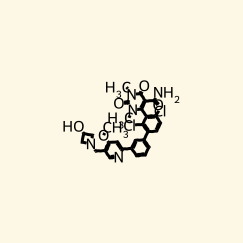 COc1cc(-c2cccc(-c3ccc(Cl)c(-c4c(C(N)=O)c(=O)n(C)c(=O)n4C)c3Cl)c2)ncc1CN1CC(O)C1